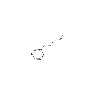 O=[C]CCCc1cccnc1